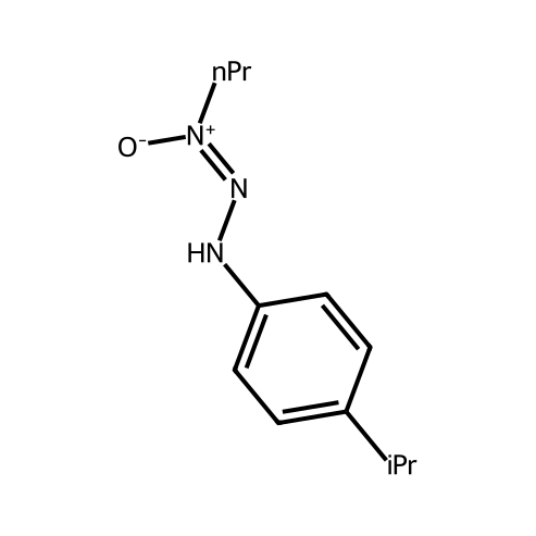 CCC[N+]([O-])=NNc1ccc(C(C)C)cc1